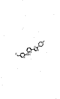 CN1CCN(c2ncc(-c3cccc(Nc4ccc(CF)cn4)n3)o2)CC1